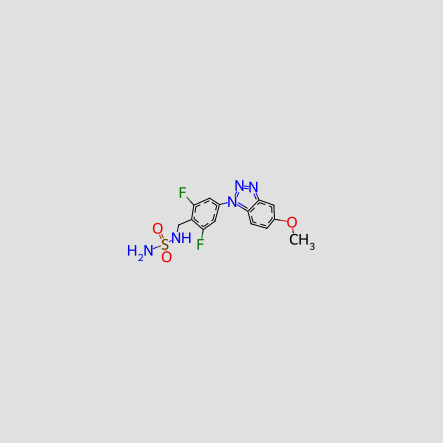 COc1ccc2c(c1)nnn2-c1cc(F)c(CNS(N)(=O)=O)c(F)c1